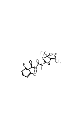 O=C(NC(=O)c1c(F)cccc1Cl)NC1=NC(C(F)(F)F)(C(F)(F)F)/C(=C(\F)C(F)(F)F)S1